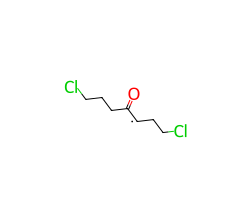 O=C([CH]CCCl)CCCCl